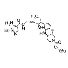 CCn1ncc(C(=O)NCC#Cc2nn3c(N[C@@H]4CCN(C(=O)OC(C)(C)C)C[C@@H]4F)cccc3c2CC(F)(F)F)c1N